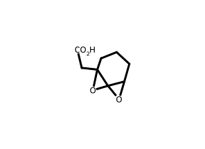 O=C(O)CC12CCCC3OC31O2